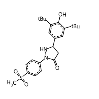 CC(C)(C)c1cc(C2CC(=O)N(c3ccc(S(C)(=O)=O)cc3)N2)cc(C(C)(C)C)c1O